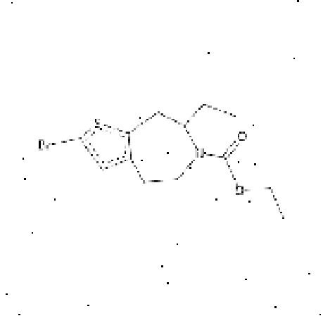 CCOC(=O)N1CCc2cc(Br)sc2CC1CC